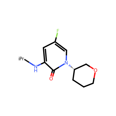 CC(C)Nc1cc(F)cn([C@H]2CCCOC2)c1=O